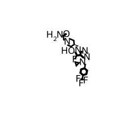 NC(=O)CN1CC[C@@H](Cn2cc(F)c3c(N(Cc4ccc(C(F)(F)F)cc4)C4CC4)ncnc32)[C@H](O)C1